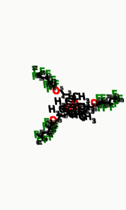 C[Si](C)(CCCOC(F)(F)C(F)(F)C(F)CC(F)(F)F)O[SiH](O[Si](C)(C)CCCOC(F)(F)C(F)(F)C(F)CC(F)(F)F)O[Si](C)(C)CCCOC(F)(F)C(F)(F)C(F)CC(F)(F)F